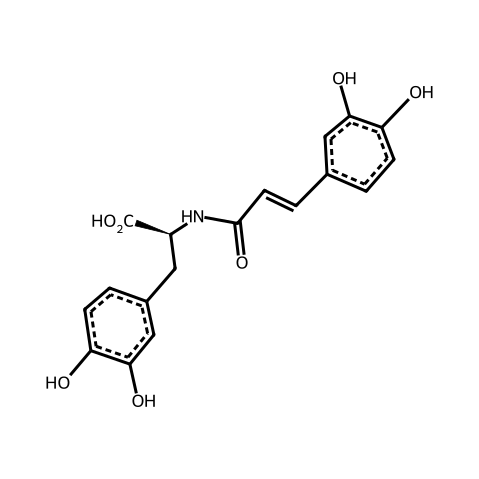 O=C(/C=C/c1ccc(O)c(O)c1)N[C@@H](Cc1ccc(O)c(O)c1)C(=O)O